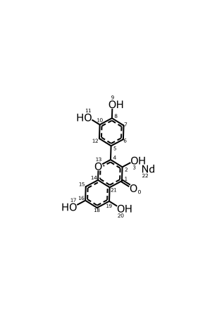 O=c1c(O)c(-c2ccc(O)c(O)c2)oc2cc(O)cc(O)c12.[Nd]